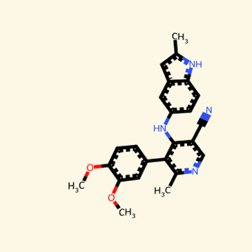 COc1ccc(-c2c(C)ncc(C#N)c2Nc2ccc3[nH]c(C)cc3c2)cc1OC